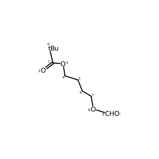 CC(C)(C)C(=O)OCCCCO[C]=O